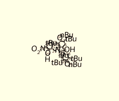 CCCCOc1c(C(C)(C)C)cc(C(O)(c2cc(C(C)(C)C)c(OCCCC)c(C(C)(C)C)c2)C(N=Cc2cccc([N+](=O)[O-])c2O)C(C)CC)cc1C(C)(C)C